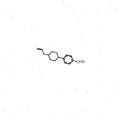 C=CCC1CCC(c2ccc(C=O)cc2)CC1